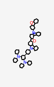 c1ccc(N(c2ccccc2)c2cc(-c3ccc(-n4c5ccccc5c5c6oc7c(ccc8c7c7ccccc7n8-c7ccc8oc9ccccc9c8c7)c6ccc54)cc3)cc(N(c3ccccc3)c3ccccc3)c2)cc1